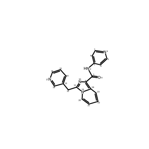 O=C(Nc1ccncc1)c1nc(Cc2cccnc2)n2ccccc12